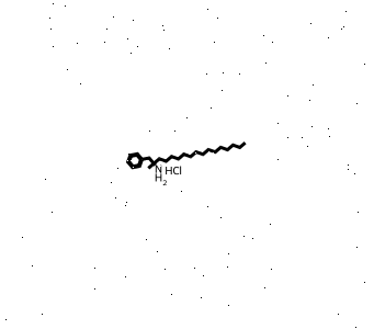 CCCCCCCCCCCCCCCC(C)(N)Cc1ccccc1.Cl